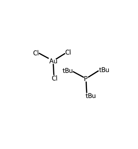 CC(C)(C)P(C(C)(C)C)C(C)(C)C.[Cl][Au]([Cl])[Cl]